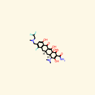 CN(Cc1cc(O)c2c(c1F)C[C@H]1C[C@H]3[C@H](N(C)C)C(O)=C(C(N)=O)C(=O)[C@@]3(O)C(O)=C1C2=O)CC(F)F